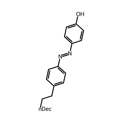 CCCCCCCCCCCCc1ccc(/N=N/c2ccc(O)cc2)cc1